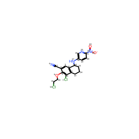 N#Cc1cc2c(c(Cl)c1OCCCl)CCCC2Nc1ccc([N+](=O)[O-])nc1